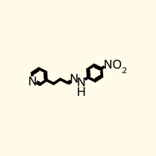 O=[N+]([O-])c1ccc(NN=CCCc2cccnc2)cc1